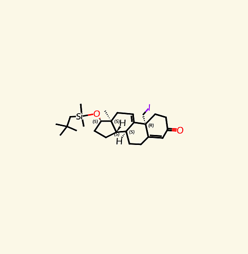 CC(C)(C)C[Si](C)(C)O[C@H]1CC[C@H]2[C@@H]3CCC4=CC(=O)CC[C@]4(CI)C3=CC[C@]12C